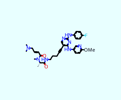 COc1ccc(Nc2nc(Nc3ccc(F)cc3)ncc2C#CCCCNC(=O)[C@H](C)N(C)C(=O)/C=C/CN(C)C)cn1